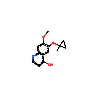 COc1cc2nccc(O)c2cc1OC1(C)CC1